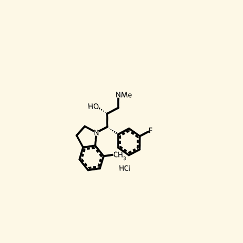 CNC[C@@H](O)[C@H](c1cccc(F)c1)N1CCc2cccc(C)c21.Cl